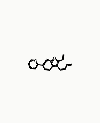 C=C/C=C\c1c(C=C)oc(C)c1/C=C\C(=C/C)c1ccccn1